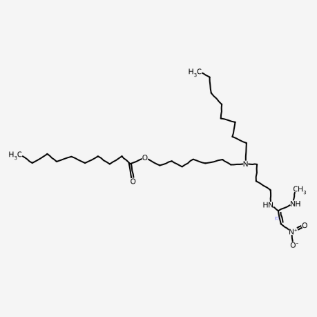 CCCCCCCCCC(=O)OCCCCCCCN(CCCCCCCC)CCCN/C(=C/[N+](=O)[O-])NC